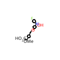 CO[C@@H](Cc1ccc(C#CCOc2ccc(/C(=N\O)c3ccc(F)cc3)cc2)cc1)C(=O)O